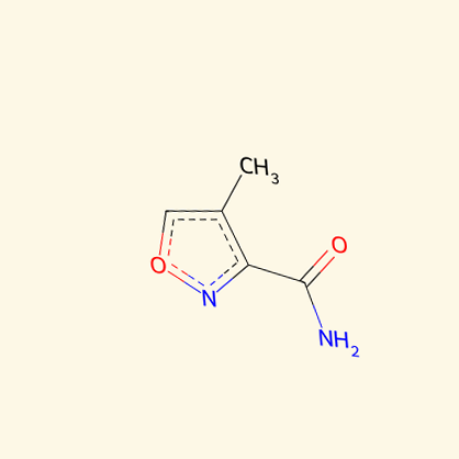 Cc1conc1C(N)=O